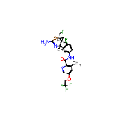 Cc1cc(OCC(F)(F)F)cnc1C(=O)Nc1ccc(F)c([C@]2(C)N=C(N)S[C@@]3(CF)C[C@H]32)c1